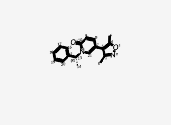 Cc1noc(C)c1-c1ccc(=O)n([C@H](C)c2ccccc2)c1